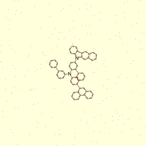 c1ccc(-c2cccc(N(c3ccc(-c4cc5ccccc5c5ccccc45)cc3)c3ccc(-n4c5ccccc5c5cc6ccccc6cc54)cc3-c3ccccc3)c2)cc1